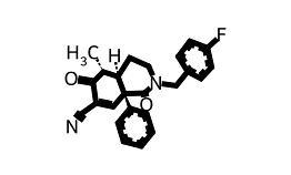 C[C@H]1C(=O)C(C#N)=C[C@@]2(c3ccccc3)C(=O)N(Cc3ccc(F)cc3)CC[C@H]12